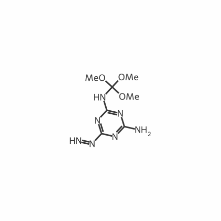 COC(Nc1nc(N)nc(N=N)n1)(OC)OC